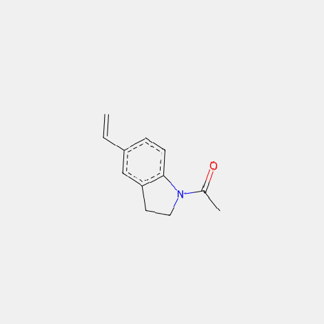 C=Cc1ccc2c(c1)CCN2C(C)=O